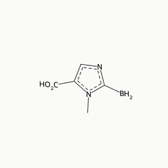 Bc1ncc(C(=O)O)n1C